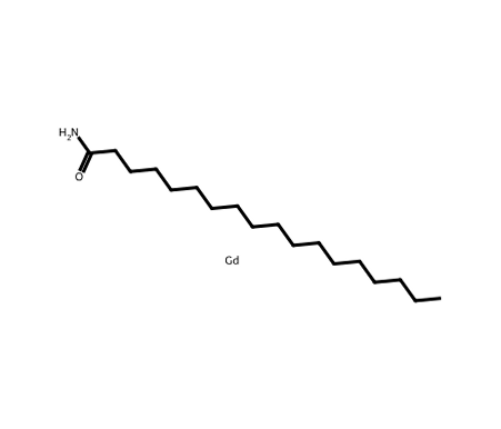 CCCCCCCCCCCCCCCCCC(N)=O.[Gd]